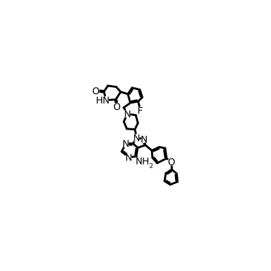 Nc1ncnc2c1c(-c1ccc(Oc3ccccc3)cc1)nn2C1CCN(Cc2c(F)cccc2C2CCC(=O)NC2=O)CC1